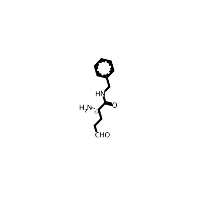 N[C@@H](CCC=O)C(=O)NCc1ccccc1